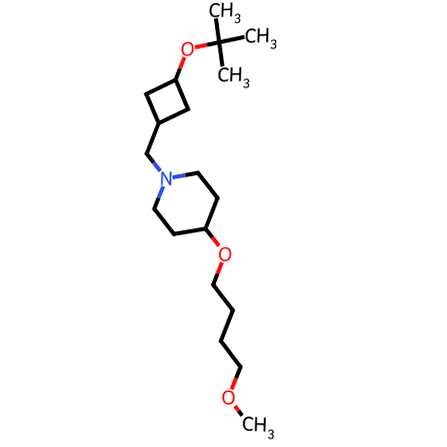 COCCCCOC1CCN(CC2CC(OC(C)(C)C)C2)CC1